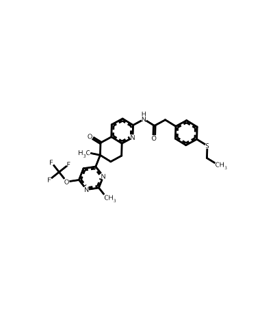 CCSc1ccc(CC(=O)Nc2ccc3c(n2)CCC(C)(c2cc(OC(F)(F)F)nc(C)n2)C3=O)cc1